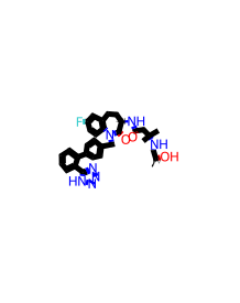 C[C@@H](O)CNC(C)(C)CC(=O)N[C@@H]1CCc2cc(F)ccc2N(Cc2ccc(-c3ccccc3-c3nnn[nH]3)cc2)C1=O